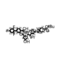 CC(C)C(C(=O)N1C[C@H](O)C[C@H]1C(=O)N[C@@H](C)c1ccc(-c2c(F)cc(F)cc2F)cc1)c1cc(N2CC3(CCN(C(=O)OC(C)(C)C)CC3)C2)no1